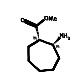 COC(=O)[C@H]1CCCCC[C@H]1N